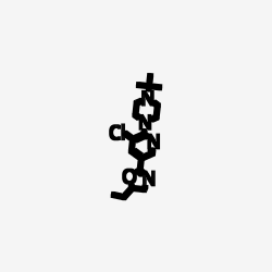 CCC1CN=C(c2cnc(N3CCN(C(C)(C)C)CC3)c(Cl)c2)O1